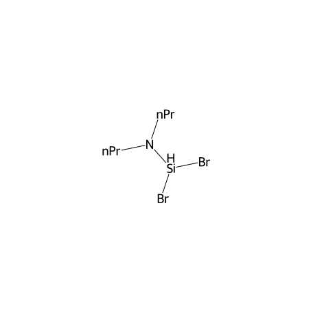 CCCN(CCC)[SiH](Br)Br